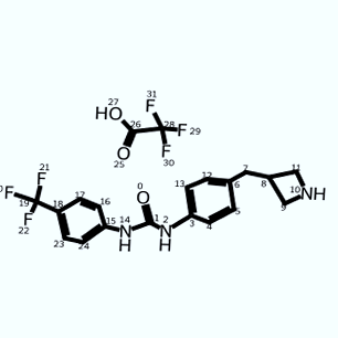 O=C(Nc1ccc(CC2CNC2)cc1)Nc1ccc(C(F)(F)F)cc1.O=C(O)C(F)(F)F